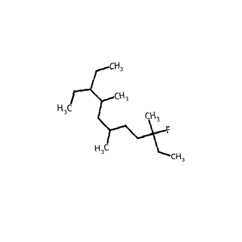 CCC(CC)C(C)CC(C)CCC(C)(F)CC